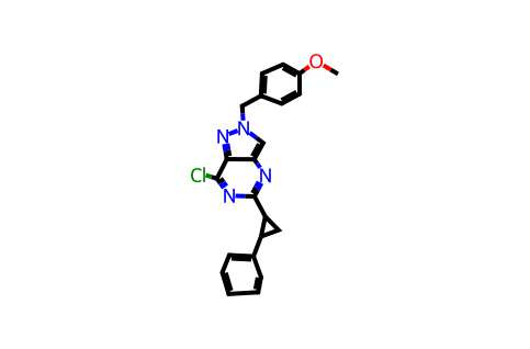 COc1ccc(Cn2cc3nc(C4CC4c4ccccc4)nc(Cl)c3n2)cc1